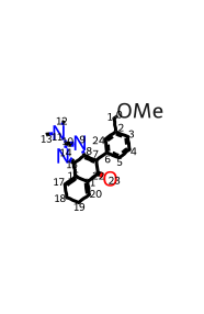 COCc1cccc(C2=C3N=C(N(C)C)N=C3C3=CCCC=C3C2=O)c1